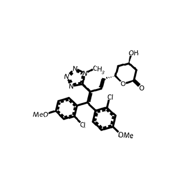 COc1ccc(C(=C(C=C[C@@H]2C[C@@H](O)CC(=O)O2)c2nnnn2C)c2ccc(OC)cc2Cl)c(Cl)c1